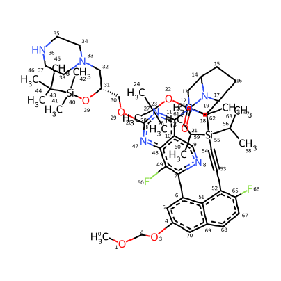 COCOc1cc(-c2ncc3c(N4CC5CCC(C4)N5C(=O)OC(C)(C)C)nc(OC[C@@H](CN4CCNCC4)O[Si](C)(C)C(C)(C)C)nc3c2F)c2c(C#C[Si](C(C)C)(C(C)C)C(C)C)c(F)ccc2c1